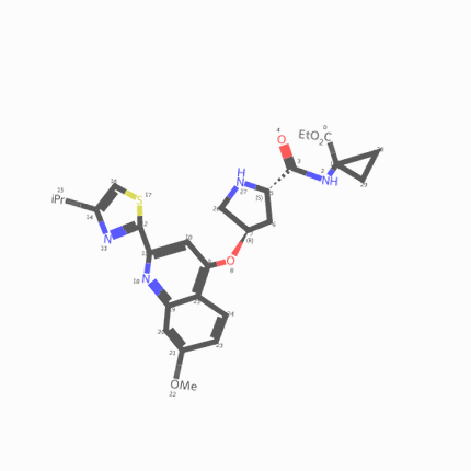 CCOC(=O)C1(NC(=O)[C@@H]2C[C@@H](Oc3cc(-c4nc(C(C)C)cs4)nc4cc(OC)ccc34)CN2)CC1